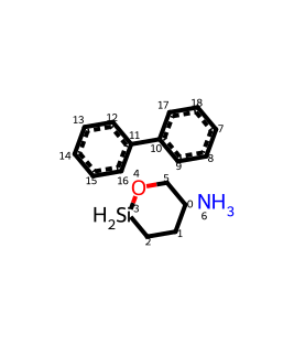 C1CC[SiH2]OC1.N.c1ccc(-c2ccccc2)cc1